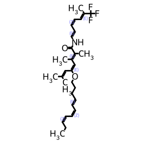 CC\C=C/C=C\C=C\CCCO/C(C=C(C)C)=C/C(C)=C(\C)C(=O)N/C=C/C=C\C=C(/C)C(F)(F)F